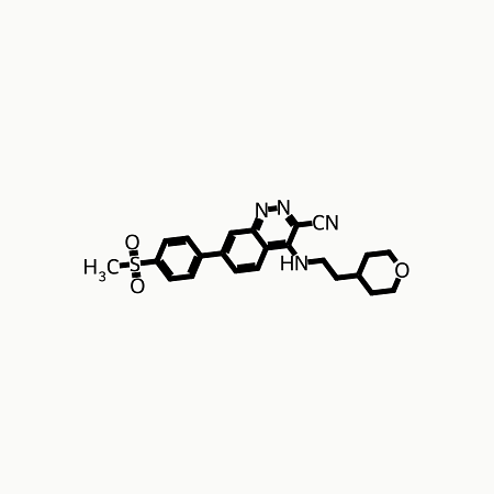 CS(=O)(=O)c1ccc(-c2ccc3c(NCCC4CCOCC4)c(C#N)nnc3c2)cc1